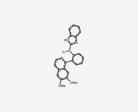 COc1cc2ccnc(-c3ccccc3[S+]([O-])c3nc4ccccc4[nH]3)c2cc1OC